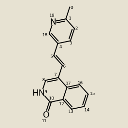 Cc1ccc(C=Cc2c[nH]c(=O)c3ccccc23)cn1